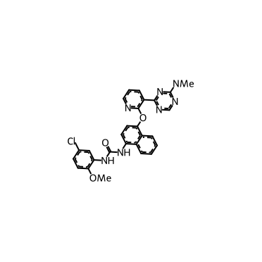 CNc1ncnc(-c2cccnc2Oc2ccc(NC(=O)Nc3cc(Cl)ccc3OC)c3ccccc23)n1